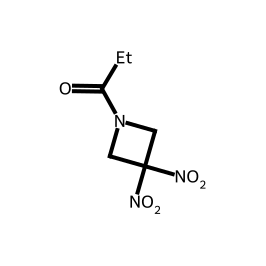 CCC(=O)N1CC([N+](=O)[O-])([N+](=O)[O-])C1